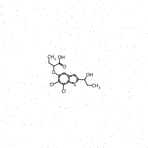 CCC(Oc1cc2cc(C(O)CC)sc2c(Cl)c1Cl)C(=O)O